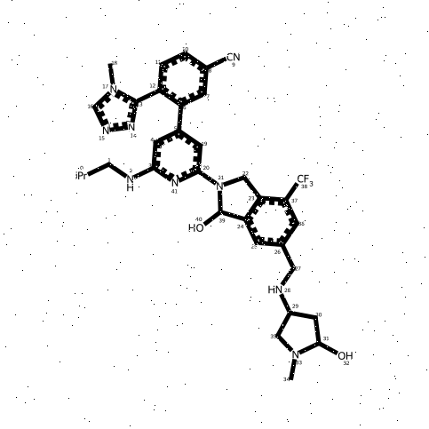 CC(C)CNc1cc(-c2cc(C#N)ccc2-c2nncn2C)cc(N2Cc3c(cc(CNC4CC(O)N(C)C4)cc3C(F)(F)F)C2O)n1